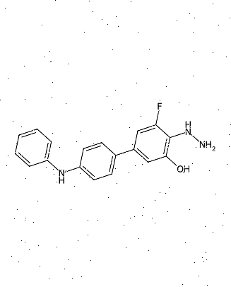 NNc1c(O)cc(-c2ccc(Nc3ccccc3)cc2)cc1F